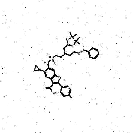 CNC(=O)c1c(-c2ccc(F)cc2)oc2cc(NS(=O)(=O)CCC(CCOCc3ccccc3)CB3OC(C)(C)C(C)(C)O3)c(C3CC3)cc12